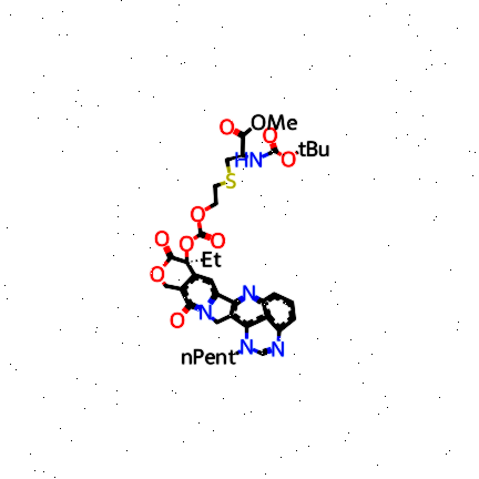 CCCCCN1C=Nc2cccc3nc4c(c1c23)Cn1c-4cc2c(c1=O)COC(=O)[C@@]2(CC)OC(=O)OCCSC[C@H](NC(=O)OC(C)(C)C)C(=O)OC